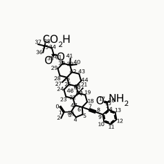 C=C(C)[C@@H]1CCC2(C#Cc3ccccc3C(N)=O)CC[C@]3(C)C(CCC4C5(C)CCC(OC(=O)CC(C)(C)C(=O)O)C(C)(C)C5CC[C@]43C)C12